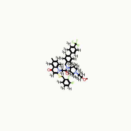 [2H]c1c([2H])c(F)c(F)c(CSc2c([2H])c(=O)c3c([2H])c(C)c([2H])c([2H])c3n2C([2H])([2H])C(=O)N(Cc2c([2H])c([2H])c(-c3c([2H])c([2H])c(C(F)(F)F)c([2H])c3[2H])c([2H])c2[2H])C2([2H])C([2H])([2H])C([2H])([2H])N(C([2H])([2H])C([2H])([2H])OC)C([2H])([2H])C2([2H])[2H])c1[2H]